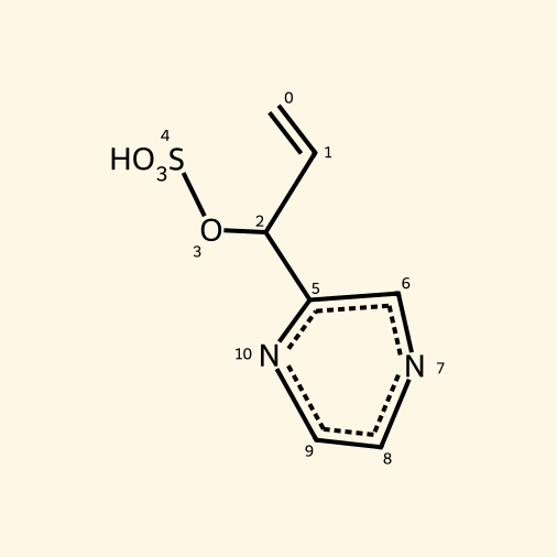 C=CC(OS(=O)(=O)O)c1cnccn1